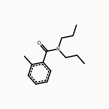 CCCN(CCC)C(=O)c1ccccc1C